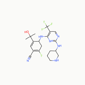 CC(C)(O)C1=CC(C#N)=C(F)CC1Nc1nc(NC2CCCNC2)ncc1C(F)(F)F